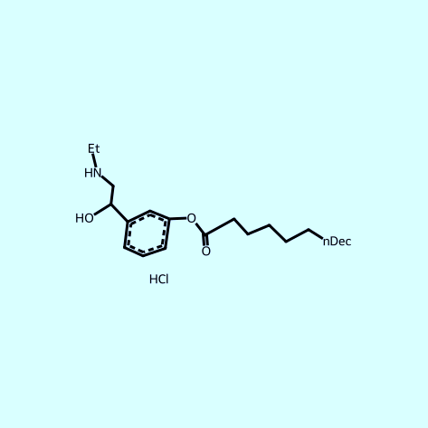 CCCCCCCCCCCCCCCC(=O)Oc1cccc(C(O)CNCC)c1.Cl